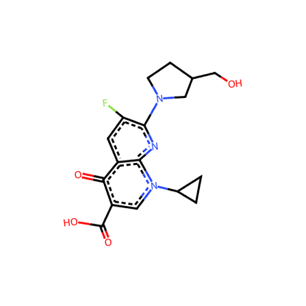 O=C(O)c1cn(C2CC2)c2nc(N3CCC(CO)C3)c(F)cc2c1=O